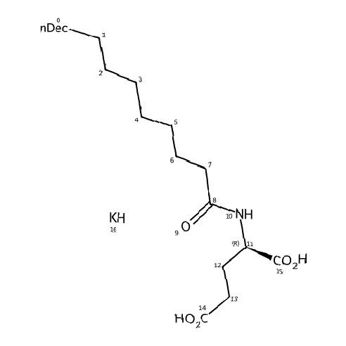 CCCCCCCCCCCCCCCCCC(=O)N[C@H](CCC(=O)O)C(=O)O.[KH]